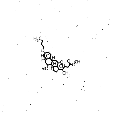 CCCCO[C@@H]1CC[C@@]2(C)[C@@H](C1)C[C@@H](O)[C@@H]1[C@@H]2C[C@H](O)[C@]2(C)[C@@H]([C@H](C)CCC(=O)OC)CC[C@@H]12